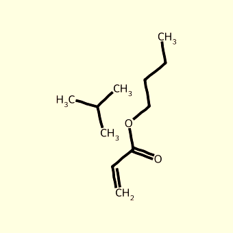 C=CC(=O)OCCCC.CC(C)C